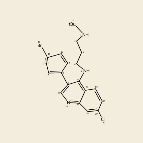 CC(C)(C)NCCCNc1c(-c2ccc(Br)cc2)cnc2cc(Cl)ccc12